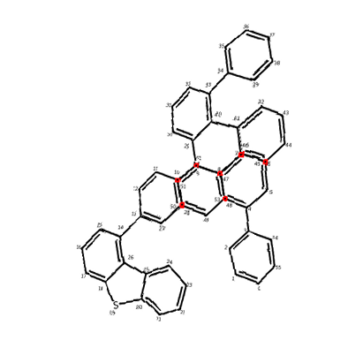 c1ccc(-c2cccc(N(c3ccc(-c4cccc5sc6ccccc6c45)cc3)c3cccc(-c4ccccc4)c3-c3ccccc3-c3ccccc3)c2)cc1